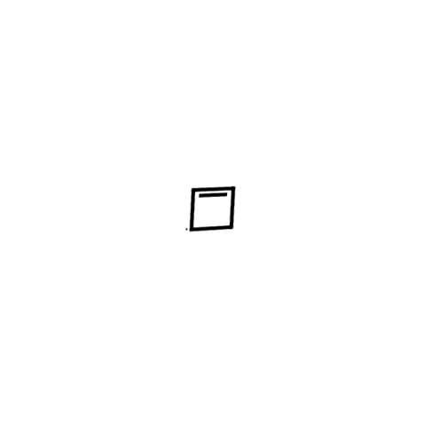 [CH]1C=CC1